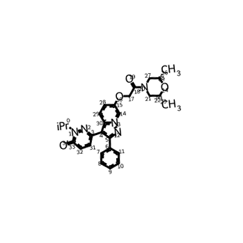 CC(C)n1nc(-c2c(-c3ccccc3)nn3cc(OCC(=O)N4C[C@@H](C)O[C@@H](C)C4)ccc23)ccc1=O